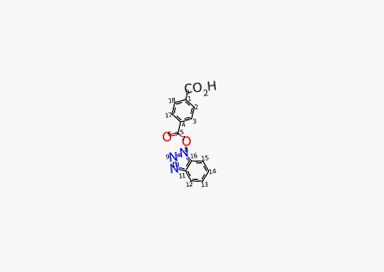 O=C(O)c1ccc(C(=O)On2nnc3ccccc32)cc1